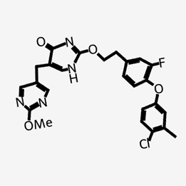 COc1ncc(Cc2c[nH]c(OCCc3ccc(Oc4ccc(Cl)c(C)c4)c(F)c3)nc2=O)cn1